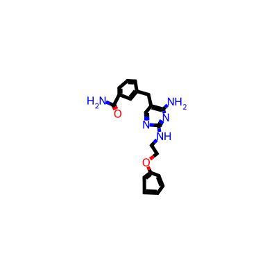 NC(=O)c1cccc(Cc2cnc(NCCOc3ccccc3)nc2N)c1